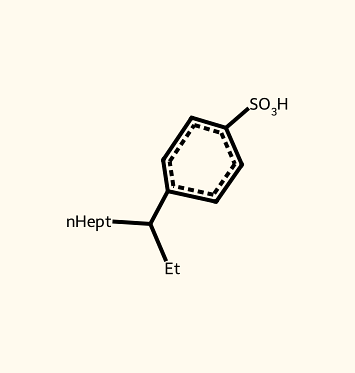 CCCCCCCC(CC)c1ccc(S(=O)(=O)O)cc1